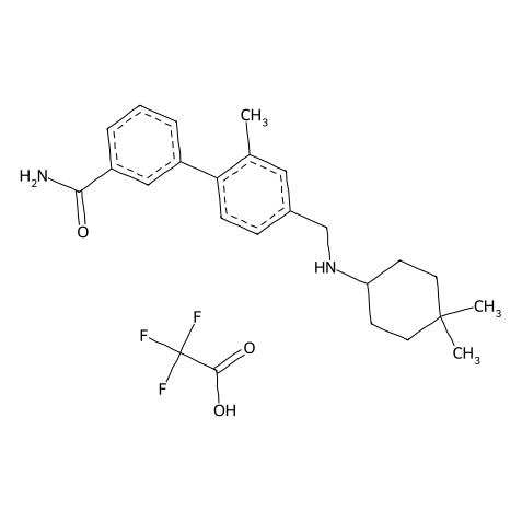 Cc1cc(CNC2CCC(C)(C)CC2)ccc1-c1cccc(C(N)=O)c1.O=C(O)C(F)(F)F